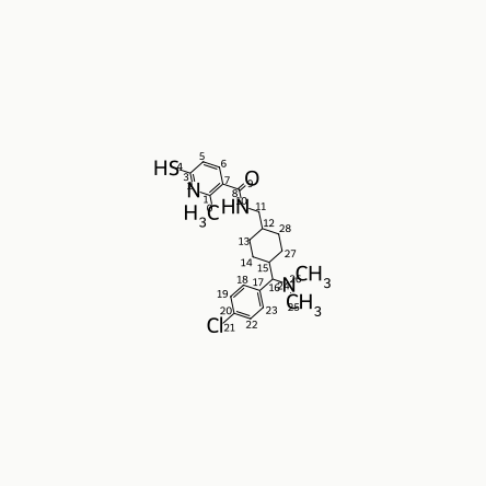 Cc1nc(S)ccc1C(=O)NCC1CCC(C(c2ccc(Cl)cc2)N(C)C)CC1